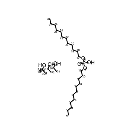 CCCCCCCCCCCCOP(=O)(O)OCCCCCCCCCCCC.CCO.CCO.CCO.N